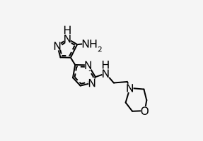 Nc1[nH]ncc1-c1ccnc(NCCN2CCOCC2)n1